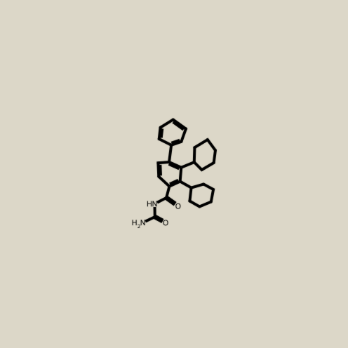 NC(=O)NC(=O)c1ccc(-c2ccccc2)c(C2CCCCC2)c1C1CCCCC1